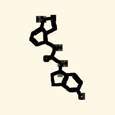 O=C(Nc1cccc2[nH]ncc12)N[C@@H]1CCc2cc(Cl)ccc21